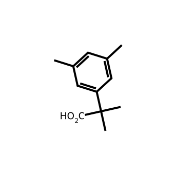 Cc1cc(C)cc(C(C)(C)C(=O)O)c1